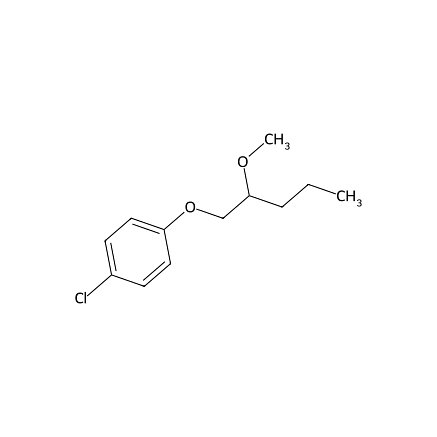 CCCC(COc1ccc(Cl)cc1)OC